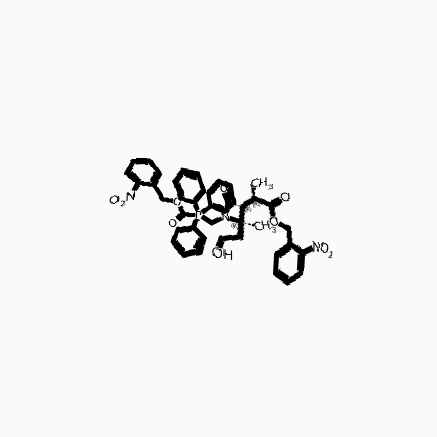 C[C@@H](C(=O)OCc1ccccc1[N+](=O)[O-])[C@H]1C(=O)N(CP(C(=O)OCc2ccccc2[N+](=O)[O-])(c2ccccc2)(c2ccccc2)c2ccccc2)[C@]1(C)CCO